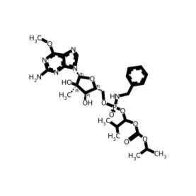 COc1nc(N)nc2c1ncn2[C@@H]1O[C@H](COP(=O)(NCc2ccccc2)OC(OC(=O)OC(C)C)C(C)C)[C@@H](O)[C@@]1(C)O